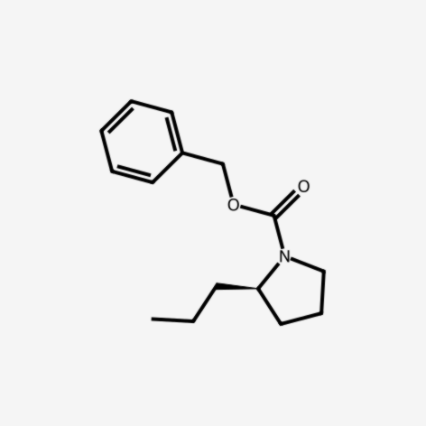 CCC[C@@H]1CCCN1C(=O)OCc1ccccc1